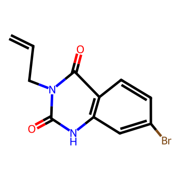 C=CCn1c(=O)[nH]c2cc(Br)ccc2c1=O